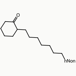 CCCCCCCCCCCCCCCCC1CCCCC1=O